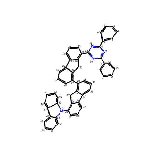 c1ccc(-c2nc(-c3ccccc3)nc(-c3cccc4c3Cc3c-4cccc3-c3cccc4c3Cc3c-4cccc3-n3c4ccccc4c4ccccc43)n2)cc1